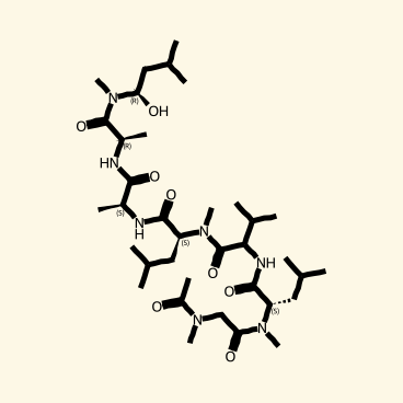 CC(=O)N(C)CC(=O)N(C)[C@@H](CC(C)C)C(=O)NC(C(=O)N(C)[C@@H](CC(C)C)C(=O)N[C@@H](C)C(=O)N[C@H](C)C(=O)N(C)[C@H](O)CC(C)C)C(C)C